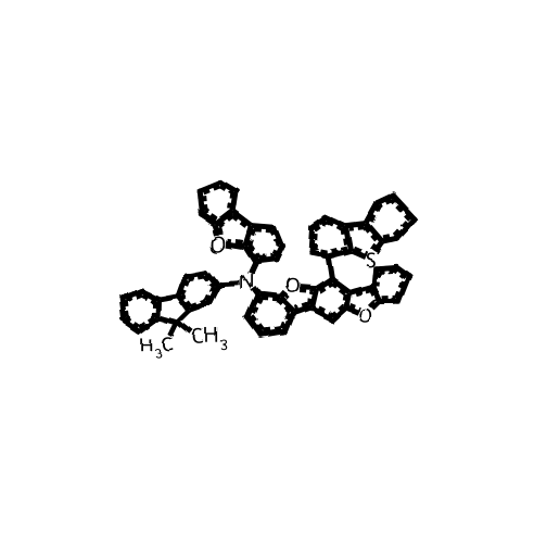 CC1(C)c2ccccc2-c2ccc(N(c3cccc4c3oc3ccccc34)c3cccc4c3oc3c(-c5cccc6c5sc5ccccc56)c5c(cc34)oc3ccccc35)cc21